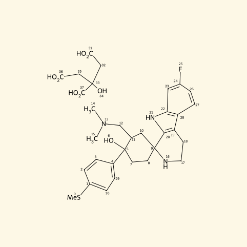 CSc1ccc(C2(O)CCC3(CC2CN(C)C)NCCc2c3[nH]c3cc(F)ccc23)cc1.O=C(O)CC(O)(CC(=O)O)C(=O)O